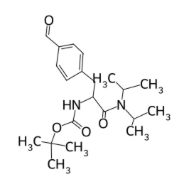 CC(C)N(C(=O)C(Cc1ccc(C=O)cc1)NC(=O)OC(C)(C)C)C(C)C